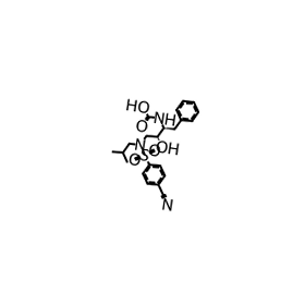 CC(C)CN(C[C@@H](O)[C@H](Cc1ccccc1)NC(=O)O)S(=O)(=O)c1ccc(C#N)cc1